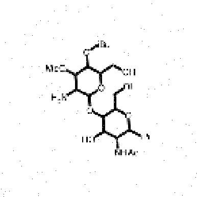 CCC(C)OC1C(CO)OC(OC2C(CO)OC(C(C)C)C(NC(C)=O)C2O)C(N)C1OC